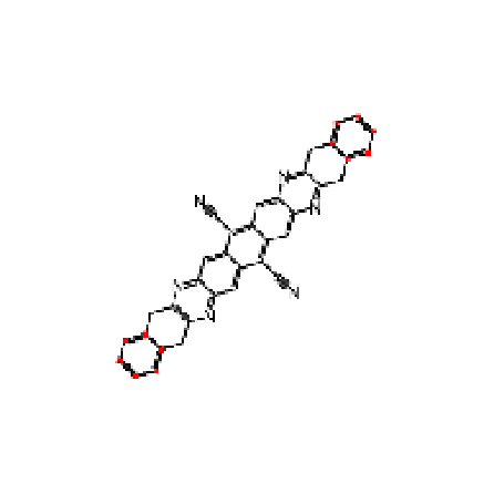 N#Cc1c2cc3nc4c(nc3cc2c(C#N)c2cc3nc5c(nc3cc12)C1c2ccccc2C5c2ccccc21)C1c2ccccc2C4c2ccccc21